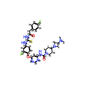 CN(C)C1CN(C2CCN(C(=O)Nc3cc(Oc4ccc(NC(=S)NC(=O)Cc5ccc(F)cc5)cc4F)ncn3)CC2)C1